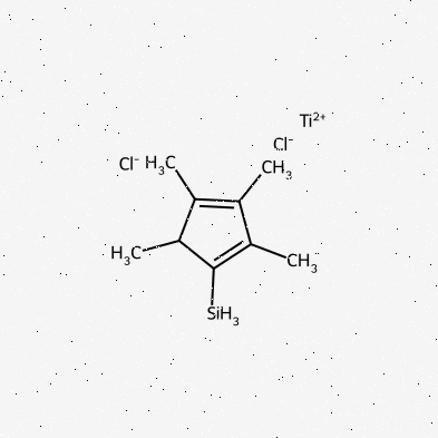 CC1=C(C)C(C)C([SiH3])=C1C.[Cl-].[Cl-].[Ti+2]